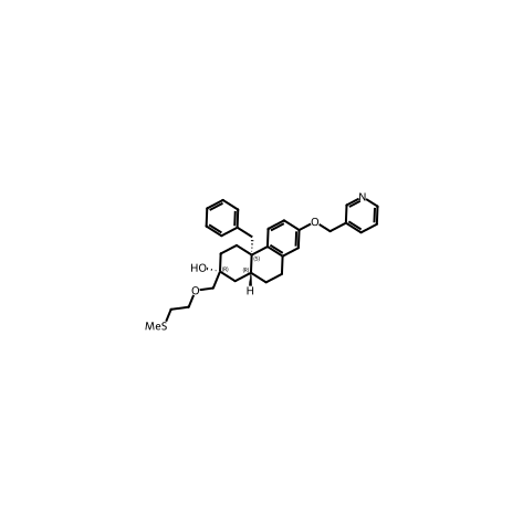 CSCCOC[C@@]1(O)CC[C@@]2(Cc3ccccc3)c3ccc(OCc4cccnc4)cc3CC[C@@H]2C1